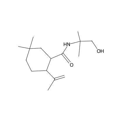 C=C(C)C1CCC(C)(C)CC1C(=O)NC(C)(C)CO